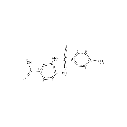 Cc1ccc(S(=O)(=O)Nc2cc(C(=O)O)ccc2O)cc1